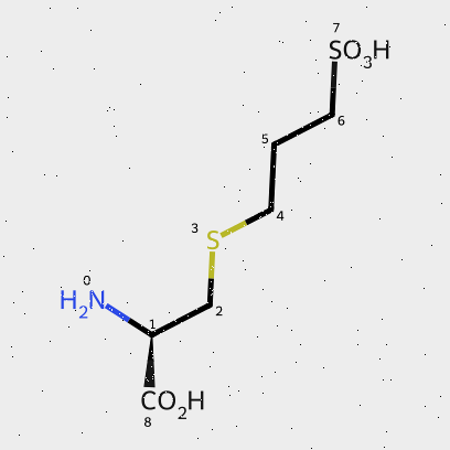 N[C@@H](CSCCCS(=O)(=O)O)C(=O)O